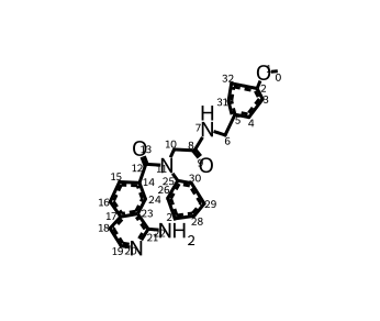 COc1ccc(CNC(=O)CN(C(=O)c2ccc3ccnc(N)c3c2)c2ccccc2)cc1